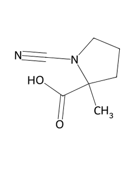 CC1(C(=O)O)CCCN1C#N